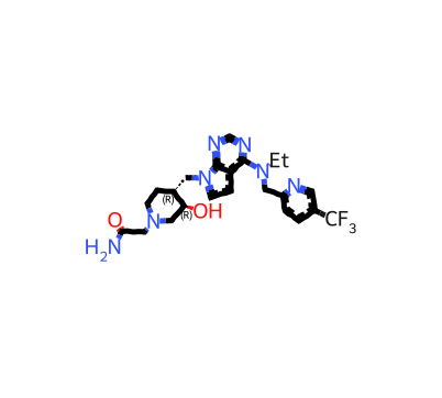 CCN(Cc1ccc(C(F)(F)F)cn1)c1ncnc2c1ccn2C[C@H]1CCN(CC(N)=O)C[C@@H]1O